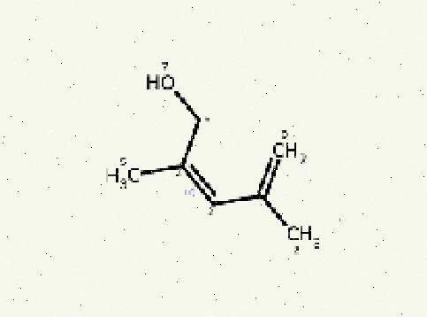 C=C(C)/C=C(/C)CO